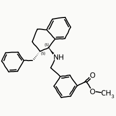 COC(=O)c1cccc(CN[C@@H]2c3ccccc3CC[C@H]2Cc2ccccc2)c1